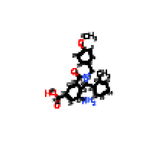 COc1ccc(CN2C(=O)c3cc(C(=O)O)cc(N)c3C2c2ccccc2C)cc1